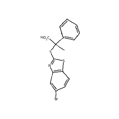 CC(Sc1nc2cc(Br)ccc2s1)(C(=O)O)c1ccccc1